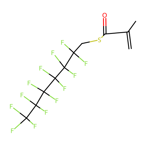 C=C(C)C(=O)SCC(F)(F)C(F)(F)C(F)(F)C(F)(F)C(F)(F)C(F)(F)F